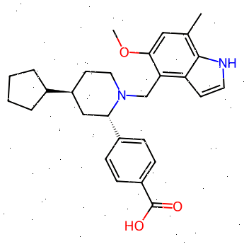 COc1cc(C)c2[nH]ccc2c1CN1CC[C@H](C2CCCC2)C[C@H]1c1ccc(C(=O)O)cc1